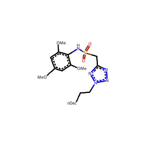 CCCCCCCCCCCCn1nnc(CS(=O)(=O)Nc2c(OC)cc(OC)cc2OC)n1